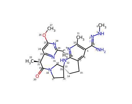 CN/N=C(\N)c1cc2c(nc1C)N[C@@]1(CC2)CCN(C(=O)[C@@H](C)c2cc(OC)nc(C)n2)C1